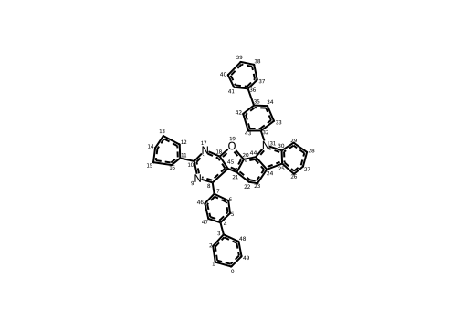 c1ccc(-c2ccc(-c3nc(-c4ccccc4)nc4oc5c(ccc6c7ccccc7n(-c7ccc(-c8ccccc8)cc7)c65)c34)cc2)cc1